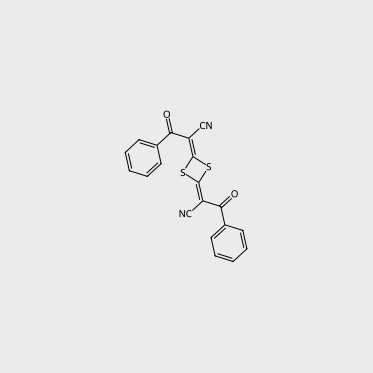 N#CC(C(=O)c1ccccc1)=c1sc(=C(C#N)C(=O)c2ccccc2)s1